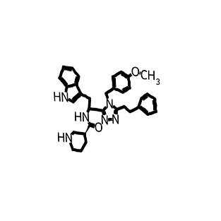 COc1ccc(Cn2c(CCc3ccccc3)nnc2C(Cc2c[nH]c3ccccc23)NC(=O)[C@H]2CCCNC2)cc1